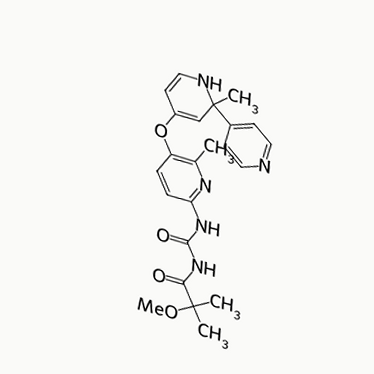 COC(C)(C)C(=O)NC(=O)Nc1ccc(OC2=CC(C)(c3ccncc3)NC=C2)c(C)n1